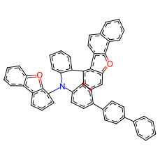 c1ccc(-c2ccc(-c3ccc(N(c4ccccc4-c4cccc5oc6c7ccccc7ccc6c45)c4cccc5c4oc4ccccc45)cc3)cc2)cc1